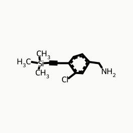 C[Si](C)(C)C#Cc1ccc(CN)cc1Cl